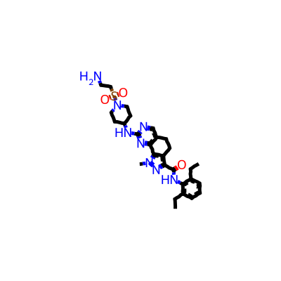 CCc1cccc(CC)c1NC(=O)c1nn(C)c2c1CCc1cnc(NC3CCN(S(=O)(=O)CCN)CC3)nc1-2